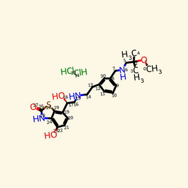 COC(C)(C)CNCc1cccc(CCNC[C@H](O)c2ccc(O)c3[nH]c(=O)sc23)c1.Cl.Cl